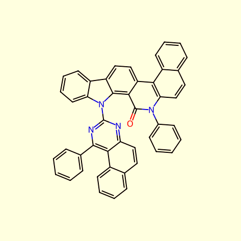 O=c1c2c(ccc3c4ccccc4n(-c4nc(-c5ccccc5)c5c(ccc6ccccc65)n4)c32)c2c3ccccc3ccc2n1-c1ccccc1